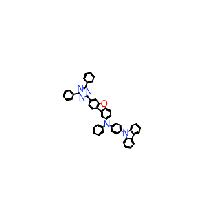 c1ccc(-c2nc(-c3ccccc3)nc(-c3ccc4c(c3)oc3ccc(N(c5ccccc5)c5ccc(-n6c7ccccc7c7ccccc76)cc5)cc34)n2)cc1